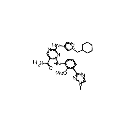 COc1c(Nc2nc(Nc3cnn(CC4CCCCC4)c3)ncc2C(N)=O)cccc1-c1ncn(C)n1